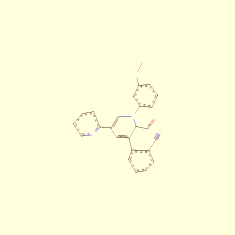 COc1cccc(N2C=C(c3ccccn3)C=C(c3ccccc3C#N)C2C=O)c1